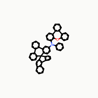 c1ccc(N(c2ccc3c(c2)-c2ccccc2-c2ccccc2C32c3ccccc3-c3c2ccc2ccccc32)c2cccc3c2Oc2ccccc2-c2ccccc2-3)cc1